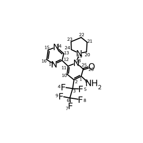 Nc1c(C(F)(F)C(F)(F)F)cc(-c2cnccn2)n(N2CCCCC2)c1=O